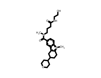 CN(CCCC(=O)NCCO)C(=O)c1ccc2c(c1)c1c(n2C)CCC(C2CCOCC2)C1